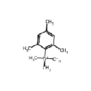 Cc1cc(C)c([N+](C)(C)C)c(C)c1